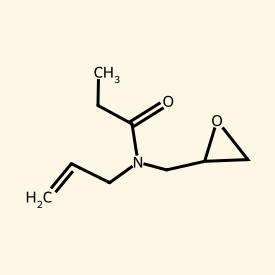 C=CCN(CC1CO1)C(=O)CC